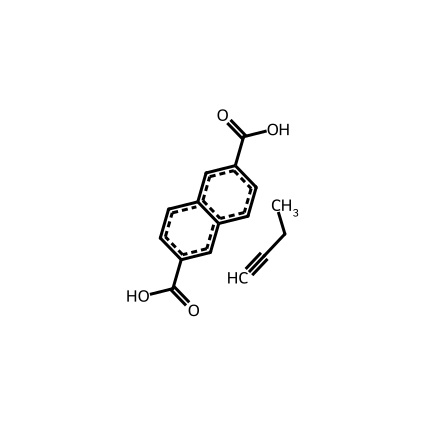 C#CCC.O=C(O)c1ccc2cc(C(=O)O)ccc2c1